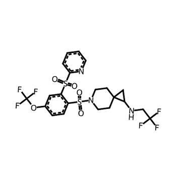 O=S(=O)(c1ccccn1)c1cc(OC(F)(F)F)ccc1S(=O)(=O)N1CCC2(CC1)CC2NCC(F)(F)F